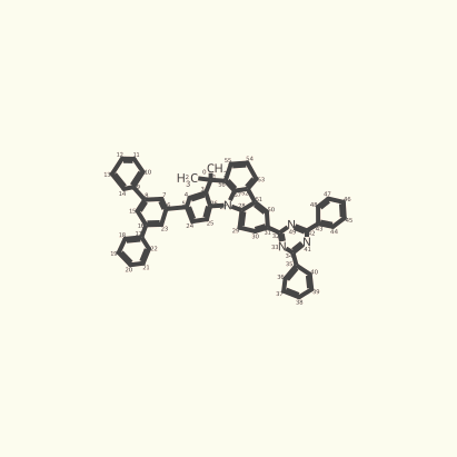 CC1(C)c2cc(-c3cc(-c4ccccc4)cc(-c4ccccc4)c3)ccc2-n2c3ccc(-c4nc(-c5ccccc5)nc(-c5ccccc5)n4)cc3c3cccc1c32